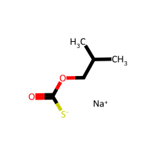 CC(C)COC(=O)[S-].[Na+]